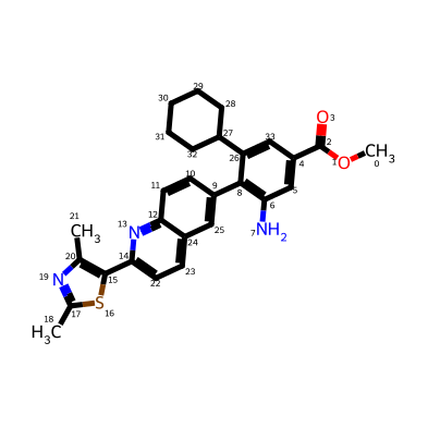 COC(=O)c1cc(N)c(-c2ccc3nc(-c4sc(C)nc4C)ccc3c2)c(C2CCCCC2)c1